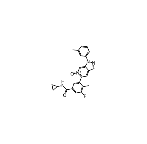 Cc1cccc(-n2ncc3cc(-c4cc(C(=O)NC5CC5)cc(F)c4C)[n+]([O-])cc32)c1